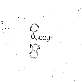 O=C(O)C(Oc1ccccc1)c1nc2ccccc2s1